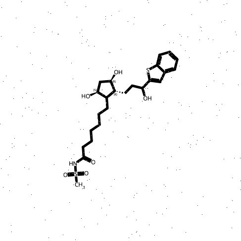 CS(=O)(=O)NC(=O)CCCCCCC1[C@@H](CCC(O)c2cc3ccccc3s2)[C@H](O)C[C@@H]1O